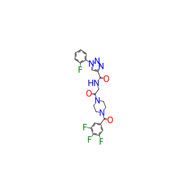 O=C(NCC(=O)N1CCN(C(=O)c2cc(F)c(F)c(F)c2)CC1)c1cn(-c2ccccc2F)nn1